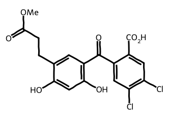 COC(=O)CCc1cc(C(=O)c2cc(Cl)c(Cl)cc2C(=O)O)c(O)cc1O